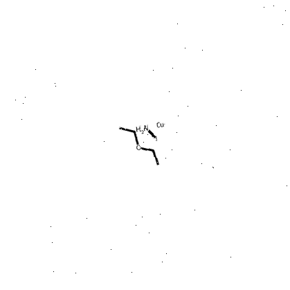 CCOCC.NI.[Cu]